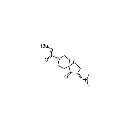 CN(C)/C=C1\COC2(CCN(C(=O)OC(C)(C)C)CC2)C1=O